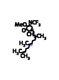 COC1=C(NC(F)(F)F)C[C@@H](C/C=C(\C)CC/C=C(\C)CCC=C(C)C)C(C)C1=O